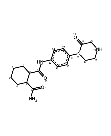 NC(=O)C1CCCCC1C(=O)Nc1ccc(N2CCNCC2=O)cc1